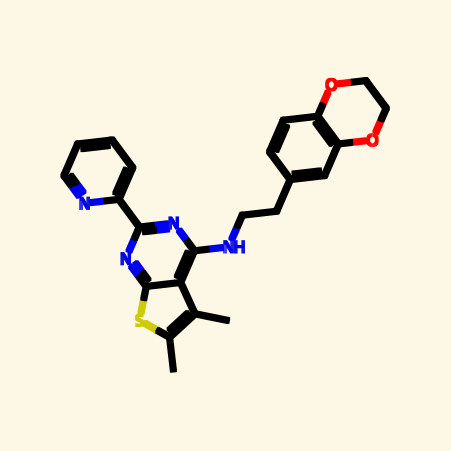 Cc1sc2nc(-c3ccccn3)nc(NCCc3ccc4c(c3)OCCO4)c2c1C